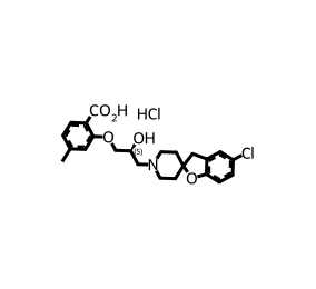 Cc1ccc(C(=O)O)c(OC[C@@H](O)CN2CCC3(CC2)Cc2cc(Cl)ccc2O3)c1.Cl